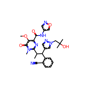 COc1c(C(=O)Nc2cnoc2)nc(C(C)C(c2cnn(CC(C)(C)O)c2)c2ccccc2C#N)n(C)c1=O